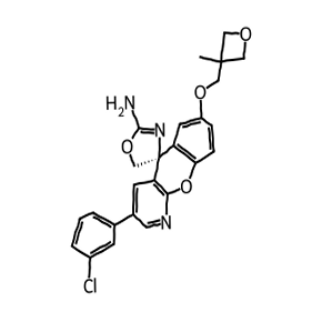 CC1(COc2ccc3c(c2)[C@@]2(COC(N)=N2)c2cc(-c4cccc(Cl)c4)cnc2O3)COC1